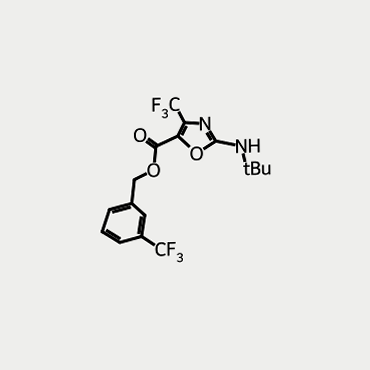 CC(C)(C)Nc1nc(C(F)(F)F)c(C(=O)OCc2cccc(C(F)(F)F)c2)o1